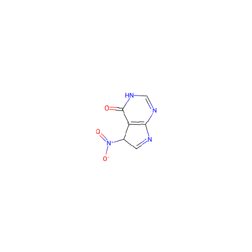 O=c1[nH]cnc2c1C([N+](=O)[O-])C=N2